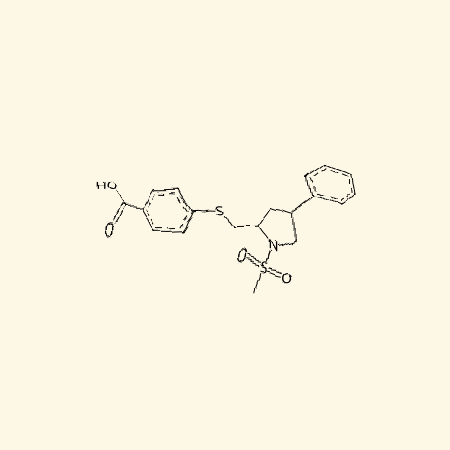 CS(=O)(=O)N1CC(c2ccccc2)CC1CSc1ccc(C(=O)O)cc1